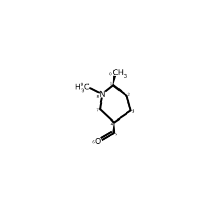 C[C@H]1CC[C@@H](C=O)CN1C